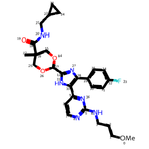 COCCCNc1nccc(-c2[nH]c(C3OCC(C)(C(=O)NCC4CC4)CO3)nc2-c2ccc(F)cc2)n1